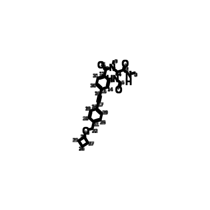 CNC(=O)C(NC=O)N(C)C(=O)c1ccc(C#Cc2ccc(COC3CCC3)cc2)cc1